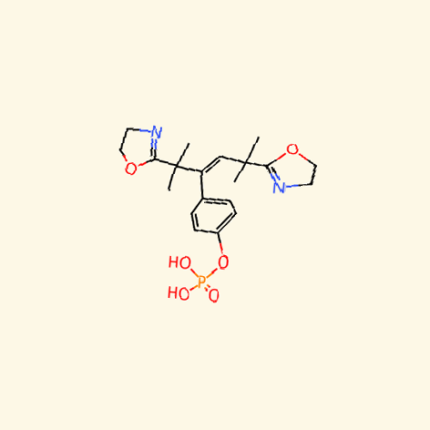 CC(C)(C=C(c1ccc(OP(=O)(O)O)cc1)C(C)(C)C1=NCCO1)C1=NCCO1